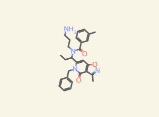 CCC(c1cc2onc(C)c2c(=O)n1Cc1ccccc1)N(CCCN)C(=O)c1cccc(C)c1